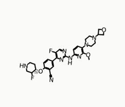 COc1nc(Nc2ncc(F)c(-c3ccc(O[C@H]4CCNCC4F)c(C#N)c3)n2)ccc1N1CCN(C2COC2)CC1